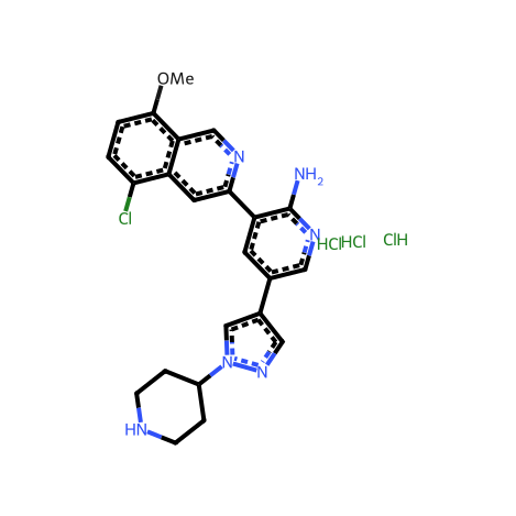 COc1ccc(Cl)c2cc(-c3cc(-c4cnn(C5CCNCC5)c4)cnc3N)ncc12.Cl.Cl.Cl